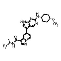 CC(NC(=O)c1cnn2ccc(-c3c[nH]c4nc(N[C@H]5CC[C@@H](OC(F)(F)F)CC5)ncc34)cc12)C(F)(F)F